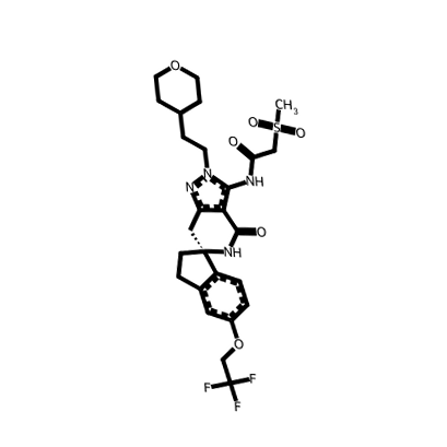 CS(=O)(=O)CC(=O)Nc1c2c(nn1CCC1CCOCC1)C[C@]1(CCc3cc(OCC(F)(F)F)ccc31)NC2=O